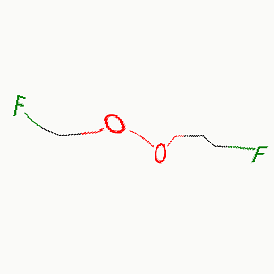 FCOOCF